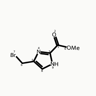 COC(=O)c1nc(CBr)c[nH]1